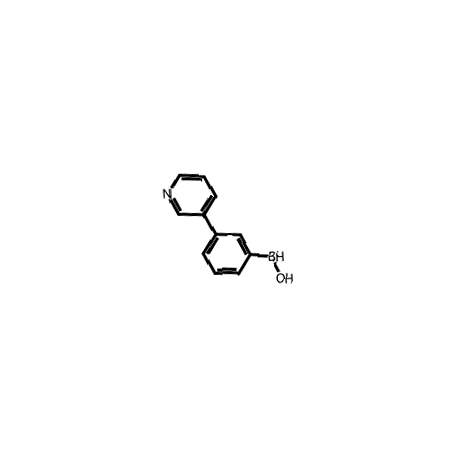 OBc1cccc(-c2cccnc2)c1